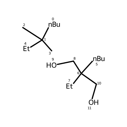 CCCCC(C)(C)CC.CCCCC(CC)(CO)CO